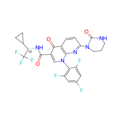 O=C(N[C@@H](C1CC1)C(F)(F)F)c1cn(-c2c(F)cc(F)cc2F)c2nc(N3CCCNC3=O)ccc2c1=O